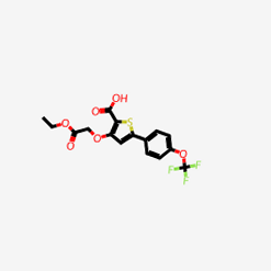 CCOC(=O)COc1cc(-c2ccc(OC(F)(F)F)cc2)sc1C(=O)O